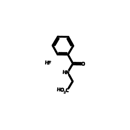 F.O=C(O)CNC(=O)c1ccccc1